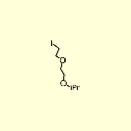 CC(C)OCCOCCI